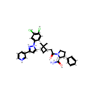 CC1(C)[C@@H](CC(=O)N2CC[C@H](c3ccccc3)[C@H]2C(N)=O)C[C@@H]1c1cc(-c2cccnc2)nn1-c1ccc(Cl)c(Cl)c1